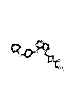 C=CC(=O)N1CC(Cn2ccc3ncnc(Oc4ccc(Oc5ccccc5)cc4)c32)C1